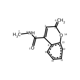 C=C1C=C(C(=O)NC)c2ccccc2O1